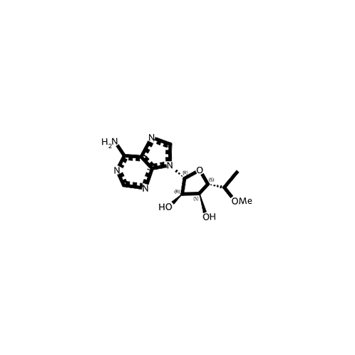 COC(C)[C@H]1O[C@@H](n2cnc3c(N)ncnc32)[C@H](O)[C@@H]1O